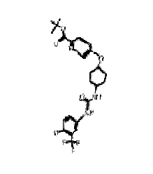 CC(C)(C)OC(=O)c1ccc(OC2CCC(NC(=O)Nc3ccc(Cl)c(C(F)(F)F)c3)CC2)cn1